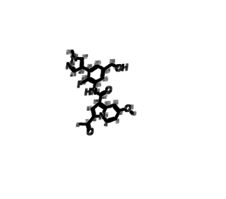 COc1ccn2c(C(C)=O)cc(C(=O)Nc3cc(CO)cc(-c4cnn(C)c4)c3F)c2c1